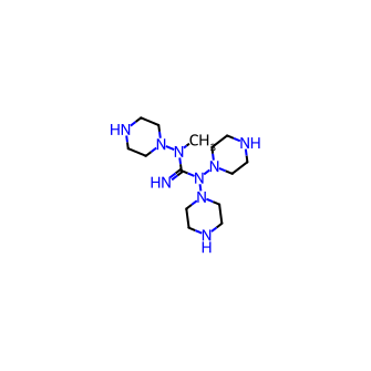 CN(C(=N)N(N1CCNCC1)N1CCNCC1)N1CCNCC1